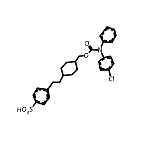 O=C(OCC1CCC(CCc2ccc(S(=O)(=O)O)cc2)CC1)N(c1ccccc1)c1ccc(Cl)cc1